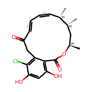 C[C@@H]1C[C@@H](C)[C@@H](C)/C=C\C=C\C(=O)Cc2c(Cl)c(O)cc(O)c2C(=O)O1